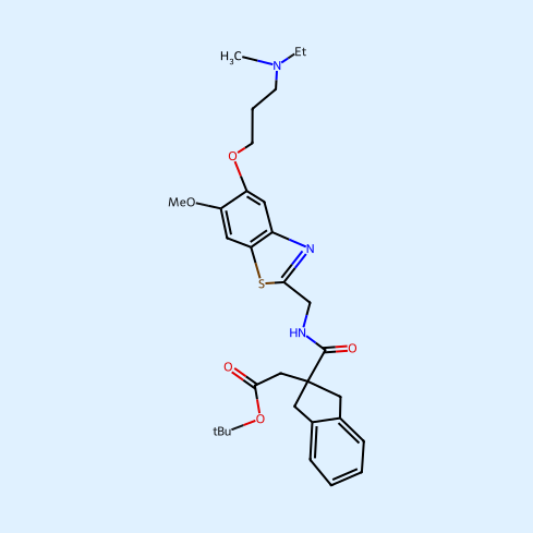 CCN(C)CCCOc1cc2nc(CNC(=O)C3(CC(=O)OC(C)(C)C)Cc4ccccc4C3)sc2cc1OC